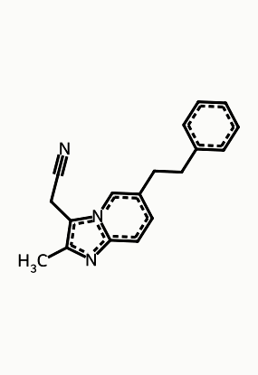 Cc1nc2ccc(CCc3ccccc3)cn2c1CC#N